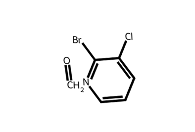 C=O.Clc1cccnc1Br